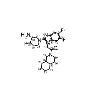 N[C@@H]1CN(c2nc3cc(F)c(F)cc3n2CC(=O)N2CCC3CCCCC3C2)CC[C@H]1F